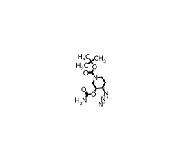 CC(C)(C)OC(=O)N1CC[C@@H](N=[N+]=[N-])C(OC(N)=O)C1